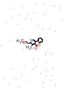 COCCc1ncc2c(c1C)c(=O)oc1ccccc12